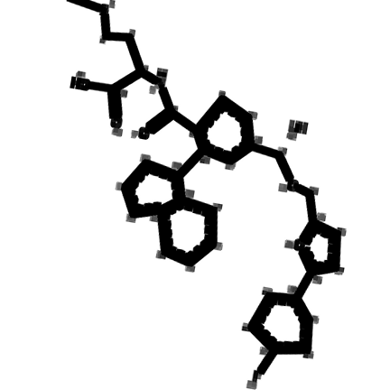 CSCCC(NC(=O)c1ccc(COCc2ccc(-c3ccc(F)cc3)o2)cc1-c1cccc2ccccc12)C(=O)O.[LiH]